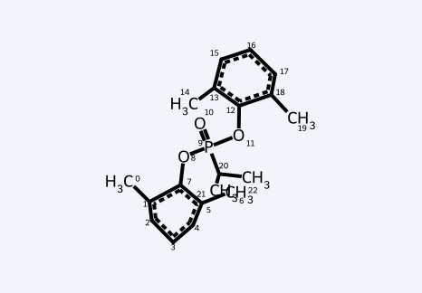 Cc1cccc(C)c1OP(=O)(Oc1c(C)cccc1C)C(C)C